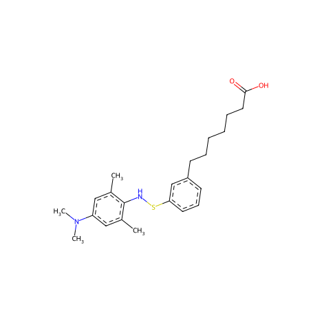 Cc1cc(N(C)C)cc(C)c1NSc1cccc(CCCCCCC(=O)O)c1